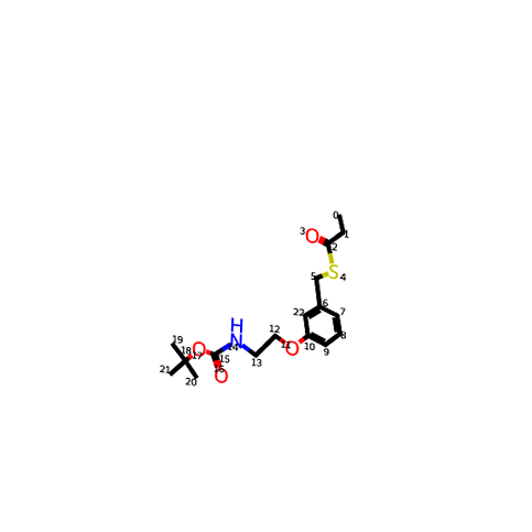 CCC(=O)SCc1cccc(OCCNC(=O)OC(C)(C)C)c1